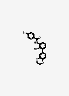 N#Cc1c(NC(=O)c2ccc(Br)cn2)cccc1-c1ccc2c(c1)OCCO2